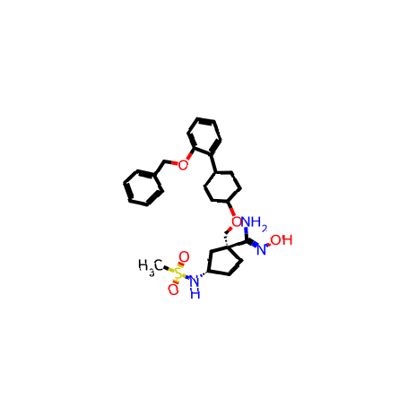 CS(=O)(=O)N[C@H]1CC[C@](COC2CCC(c3ccccc3OCc3ccccc3)CC2)(/C(N)=N/O)C1